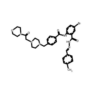 Cc1ccc(/C=N/NC(=O)c2cc(Br)ccc2NC(=O)c2ccc(CN3CCN(CC(=O)N4CCOCC4)CC3)cc2)cc1